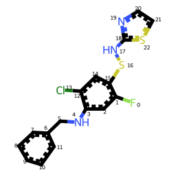 Fc1cc(NCc2ccccc2)c(Cl)cc1SNc1nccs1